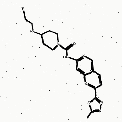 Cc1nnc(-c2ccc3cnc(NC(=O)N4CCC(NCCF)CC4)cc3n2)s1